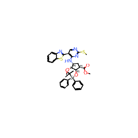 COC(=O)[C@@H]1C[C@@H](Nc2nc(SC)ncc2-c2nc3ccccc3s2)[C@@H](OC)[C@@H]1O[Si](c1ccccc1)(c1ccccc1)C(C)(C)C